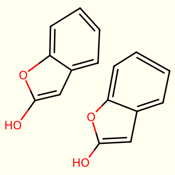 Oc1cc2ccccc2o1.Oc1cc2ccccc2o1